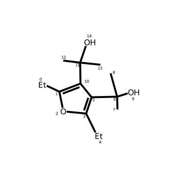 CCc1oc(CC)c(C(C)(C)O)c1C(C)(C)O